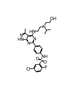 Cc1n[nH]c2nc(-c3ccc(NS(=O)(=O)c4cc(Cl)ccc4F)cc3)nc(NCCN(CCO)C(C)C)c12